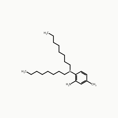 CCCCCCCCN(CCCCCCCC)c1ccc(C)cc1N